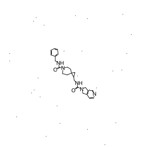 O=C(NCc1ccccc1)N1CCC2(CC1)CC2CNC(=O)N1Cc2ccncc2C1